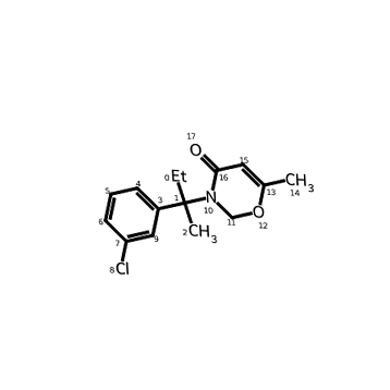 CCC(C)(c1cccc(Cl)c1)N1COC(C)=CC1=O